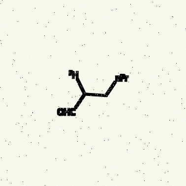 [2H]C(C=O)CCCC